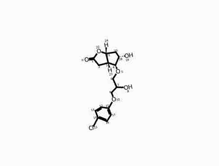 O=C1C[C@H]2[C@H](OCC(O)COc3ccc(Cl)cc3)[C@@H](O)C[C@H]2O1